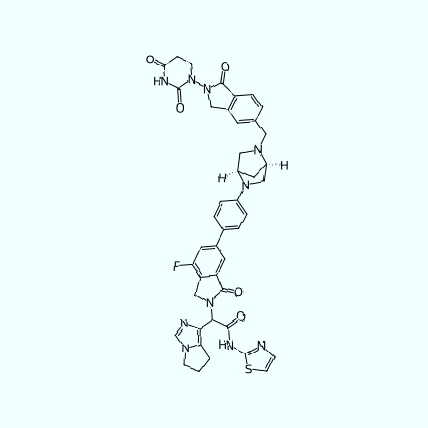 O=C1CCN(N2Cc3cc(CN4C[C@H]5C[C@@H]4CN5c4ccc(-c5cc(F)c6c(c5)C(=O)N(C(C(=O)Nc5nccs5)c5ncn7c5CCC7)C6)cc4)ccc3C2=O)C(=O)N1